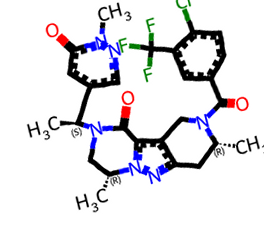 C[C@@H]1Cc2nn3c(c2CN1C(=O)c1ccc(Cl)c(C(F)(F)F)c1)C(=O)N([C@@H](C)c1cnn(C)c(=O)c1)C[C@H]3C